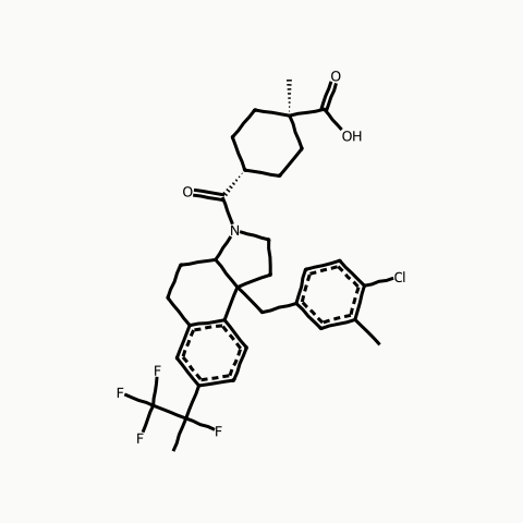 Cc1cc(CC23CCN(C(=O)[C@H]4CC[C@](C)(C(=O)O)CC4)C2CCc2cc(C(C)(F)C(F)(F)F)ccc23)ccc1Cl